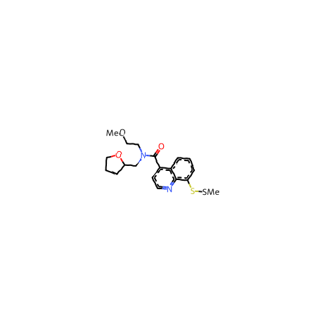 COCCN(CC1CCCO1)C(=O)c1ccnc2c(SSC)cccc12